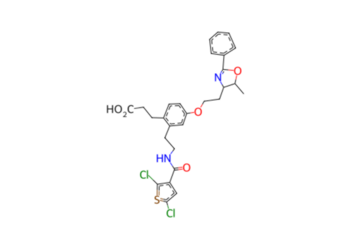 CC1OC(c2ccccc2)=NC1CCOc1ccc(CCC(=O)O)c(CCNC(=O)c2cc(Cl)sc2Cl)c1